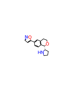 c1cc(-c2ccc3c(c2)CCO[C@@H]3C2CCCN2)on1